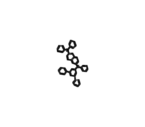 c1ccc(-c2cc(-c3ccccc3)cc(N(c3ccccc3)c3ccc4cc(N(c5ccccc5)c5ccccc5)ccc4c3)c2)cc1